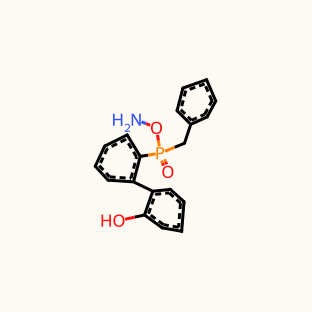 NOP(=O)(Cc1ccccc1)c1ccccc1-c1ccccc1O